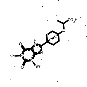 CCCn1c(=O)c2[nH]c(C34CCC(OC(C)C(=O)O)(CC3)CC4)nc2n(CCC)c1=O